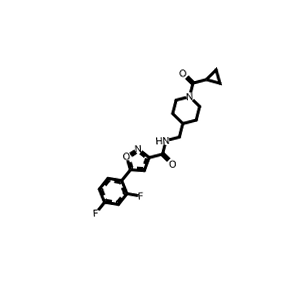 O=C(NCC1CCN(C(=O)C2CC2)CC1)c1cc(-c2ccc(F)cc2F)on1